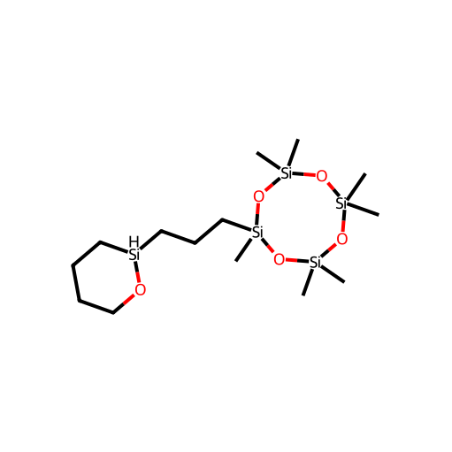 C[Si]1(C)O[Si](C)(C)O[Si](C)(CCC[SiH]2CCCCO2)O[Si](C)(C)O1